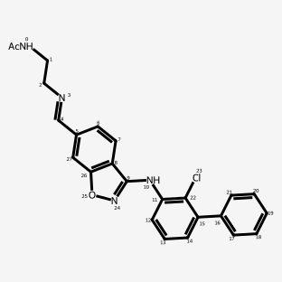 CC(=O)NCCN=Cc1ccc2c(Nc3cccc(-c4ccccc4)c3Cl)noc2c1